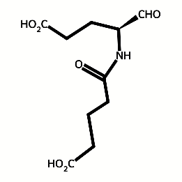 O=C[C@H](CCC(=O)O)NC(=O)CCCC(=O)O